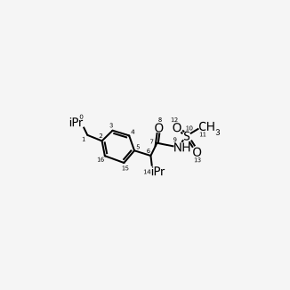 CC(C)Cc1ccc(C(C(=O)NS(C)(=O)=O)C(C)C)cc1